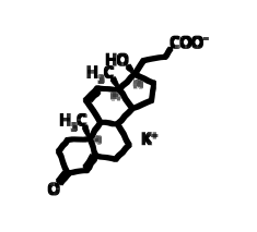 C[C@]12CCC(=O)C=C1CCC1C2C=C[C@@]2(C)C1CC[C@@]2(O)CCC(=O)[O-].[K+]